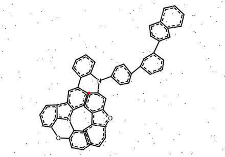 c1cc(-c2ccc(N(c3ccc4c(c3)oc3ccccc34)c3ccccc3-c3ccc4c(c3)c3cccc5c3n4-c3ccccc3O5)cc2)cc(-c2ccc3ccccc3c2)c1